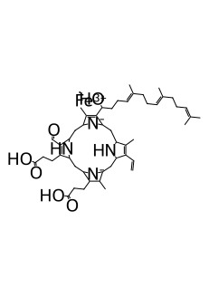 C=CC1=C(C)C2CC3[N-]C(CC4NC(CC5[N-]C(CC1N2)C(C)C5CCC(=O)O)C(CCC(=O)O)=C4C=O)C(C)=C3C(O)CC/C=C(\C)CC/C=C(\C)CCC=C(C)C.[Fe+3]